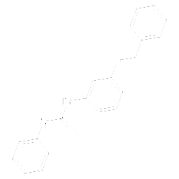 O=C(Nc1ccccc1)Nc1cccc(OCc2ccccc2)c1